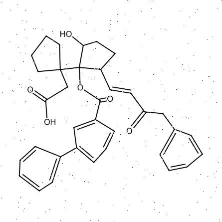 O=C(O)CC1(C2(OC(=O)c3cccc(-c4ccccc4)c3)C(O)CCC2C=CC(=O)Cc2ccccc2)CCCC1